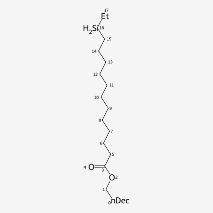 CCCCCCCCCCCOC(=O)CCCCCCCCCCC[SiH2]CC